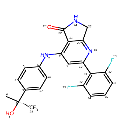 C[C@](O)(c1ccc(Nc2cc(-c3c(F)cccc3F)nc3c2C(=O)NC3)cc1)C(F)(F)F